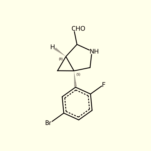 O=CC1NC[C@@]2(c3cc(Br)ccc3F)C[C@@H]12